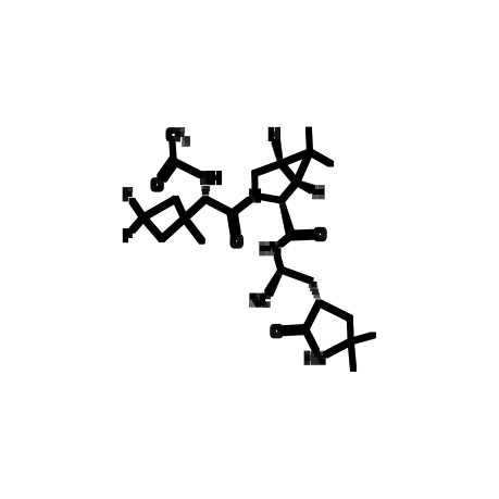 CC1(C)C[C@@H](C[C@@H](C#N)NC(=O)[C@@H]2[C@@H]3[C@H](CN2C(=O)[C@@H](NC(=O)C(F)(F)F)C2(C)CC(F)(F)C2)C3(C)C)C(=O)N1